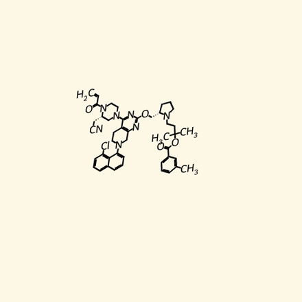 C=CC(=O)N1CCN(c2nc(OC[C@@H]3CCCN3CCC(C)(C)OC(=O)c3cccc(C)c3)nc3c2CCN(c2cccc4cccc(Cl)c24)C3)C[C@@H]1CC#N